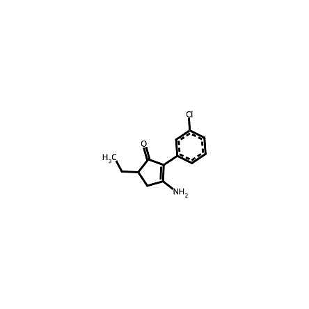 CCC1CC(N)=C(c2cccc(Cl)c2)C1=O